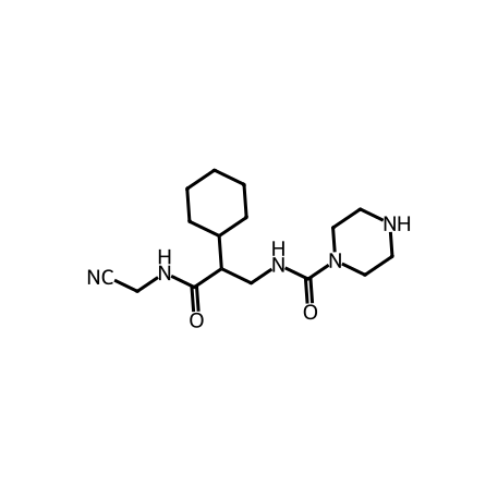 N#CCNC(=O)C(CNC(=O)N1CCNCC1)C1CCCCC1